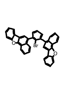 Brc1c(-c2cc3c4ccccc4oc3c3ccccc23)cccc1-c1cc2c3ccccc3oc2c2ccccc12